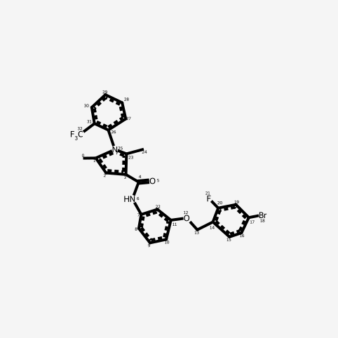 Cc1cc(C(=O)Nc2cccc(OCc3ccc(Br)cc3F)c2)c(C)n1-c1ccccc1C(F)(F)F